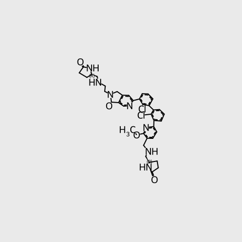 COc1nc(-c2cccc(-c3cccc(-c4cc5c(cn4)C(=O)N(CCNC[C@H]4CCC(=O)N4)C5)c3Cl)c2Cl)ccc1CNC[C@H]1CCC(=O)N1